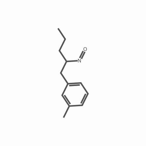 CCCC(Cc1cccc(C)c1)N=O